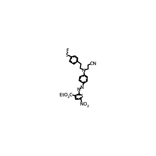 CCOC(=O)c1cc([N+](=O)[O-])sc1N=Nc1ccc(N(CCC#N)CCc2ccc(SF)cc2)cc1